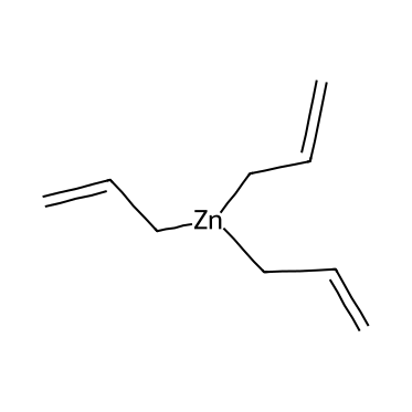 C=C[CH2][Zn]([CH2]C=C)[CH2]C=C